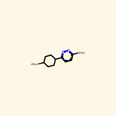 CCCCCCc1ccc(C2CCC(CCCCC)CC2)nn1